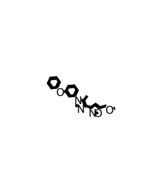 COCc1cc(-c2ncn(-c3cccc(Oc4ccccc4)c3)c2C)no1